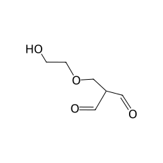 O=CC(C=O)COCCO